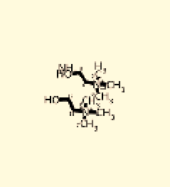 C[N+](C)(C)CCO.C[N+](C)(C)CCO.N